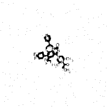 C=CC(=O)N1[C@H](C)CN(c2nc(=O)n3c4c(c(C5=CCC(F)(F)CC5)c(C(F)(F)F)cc24)SC[C@@H](c2ccncc2)C3)C[C@@H]1C